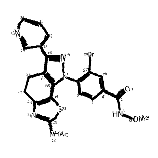 CONC(=O)c1ccc(-n2nc(-c3cccnc3)c3c2-c2sc(NC(C)=O)nc2CC3)c(Br)c1